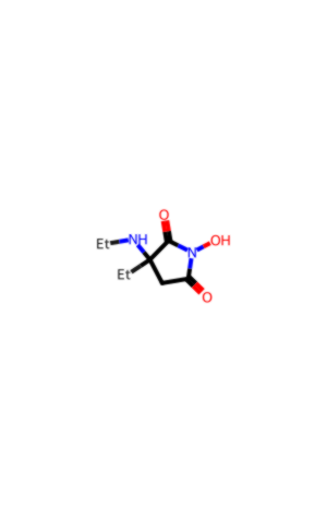 CCNC1(CC)CC(=O)N(O)C1=O